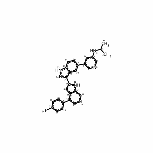 CC(C)Nc1cncc(-c2ccc3[nH]nc(-c4cc5c(-c6ccc(F)cc6)cncc5[nH]4)c3c2)c1